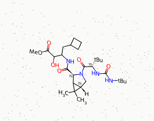 COC(=O)C(O)C(CC1CCC1)NC(=O)[C@@H]1C2[C@H](CN1C(=O)[C@@H](NC(=O)NC(C)(C)C)C(C)(C)C)C2(C)C